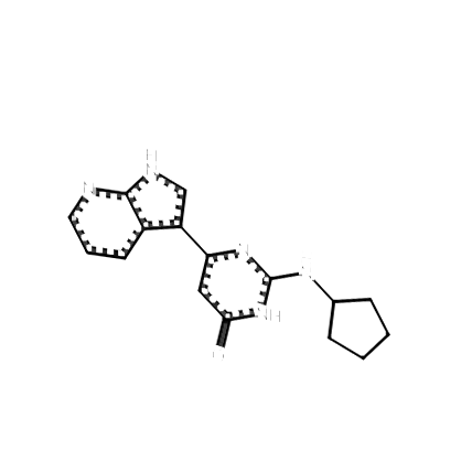 O=c1cc(-c2c[nH]c3ncccc23)nc(NC2CCCC2)[nH]1